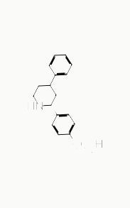 O=C(O)c1ccc([C@@H]2CC(c3ccccc3)CCN2)cc1